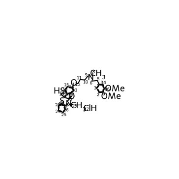 COc1ccc(CCN(C)CCCCOc2ccc(C3(CS)Sc4ccccc4N(C)C3=O)cc2)cc1OC.Cl